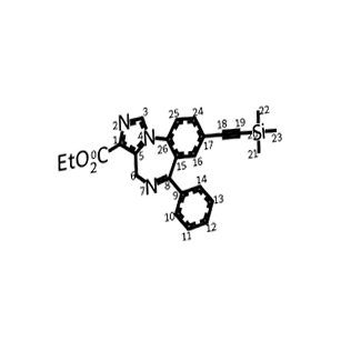 CCOC(=O)c1ncn2c1CN=C(c1ccccc1)c1cc(C#C[Si](C)(C)C)ccc1-2